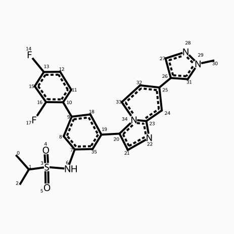 CC(C)S(=O)(=O)Nc1cc(-c2ccc(F)cc2F)cc(-c2cnc3cc(-c4cnn(C)c4)ccn23)c1